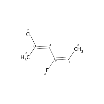 C/C=C(F)\C=C(/C)Cl